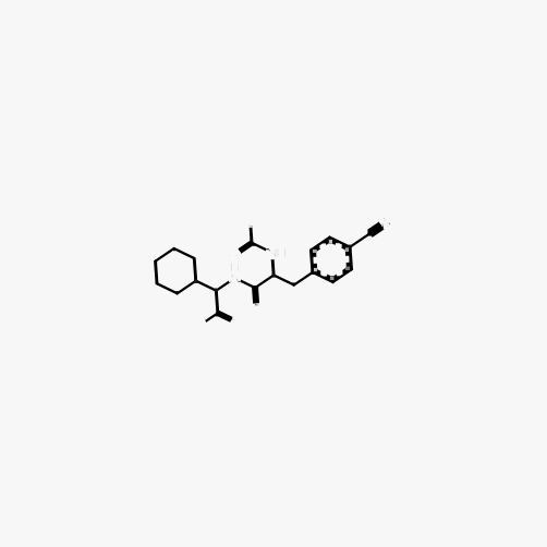 CC(=O)NC(Cc1ccc(C#N)cc1)C(=O)NC(C(=O)O)C1CCCCC1